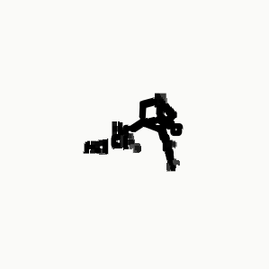 CC12CN(CC1=[N+]=[N-])C2=O.Cl.Cl